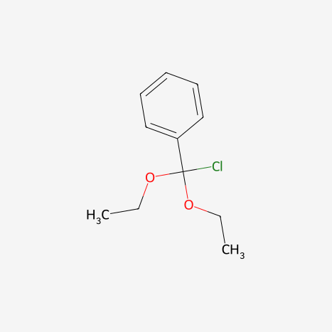 CCOC(Cl)(OCC)c1ccccc1